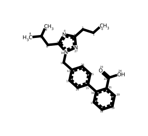 CCCc1nc(CC(C)C)n(Cc2ccc(-c3ccccc3C(=O)O)cc2)n1